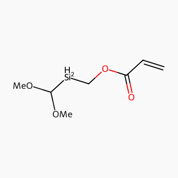 C=CC(=O)OC[SiH2]C(OC)OC